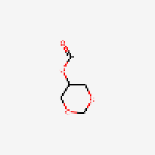 O=[C]OC1COCOC1